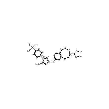 Nc1nc(Nc2ccc3c(c2)CCN(C2CCCC2)CCC3)nn1-c1ccc(C(F)(F)F)cn1